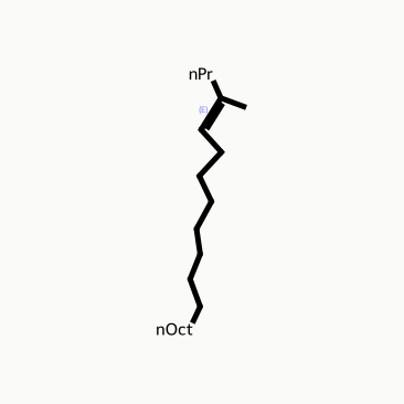 CCCCCCCCCCCCCCC/C=C(\C)CCC